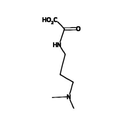 CN(C)CCCNC(=O)C(=O)O